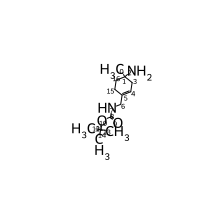 CC1(N)CC=C(CNC(=O)OC(C)(C)C)CC1